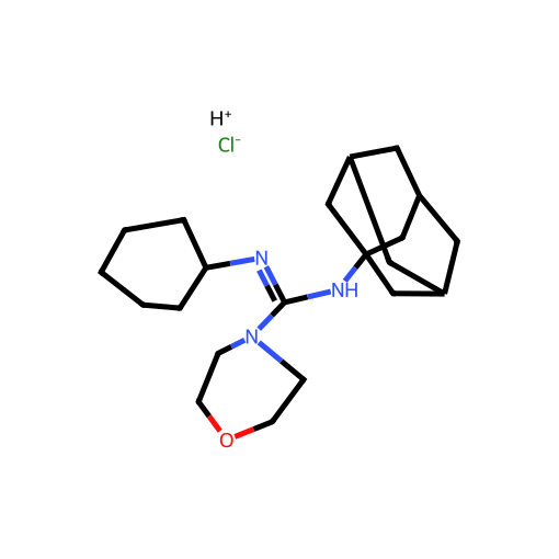 C1CCC(N=C(NC23CC4CC(CC(C4)C2)C3)N2CCOCC2)CC1.[Cl-].[H+]